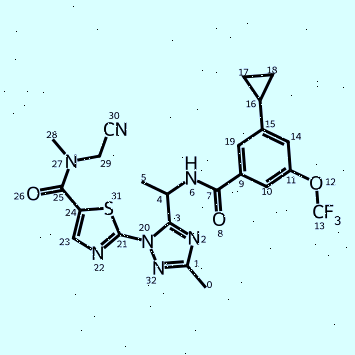 Cc1nc(C(C)NC(=O)c2cc(OC(F)(F)F)cc(C3CC3)c2)n(-c2ncc(C(=O)N(C)CC#N)s2)n1